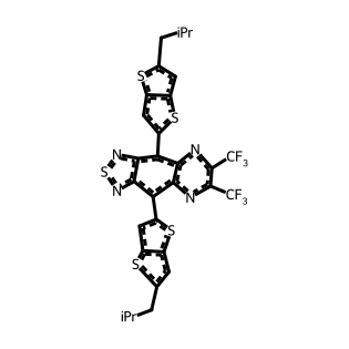 CC(C)Cc1cc2sc(-c3c4nsnc4c(-c4cc5sc(CC(C)C)cc5s4)c4nc(C(F)(F)F)c(C(F)(F)F)nc34)cc2s1